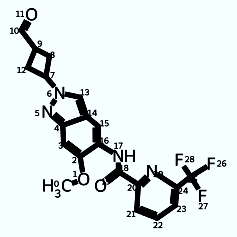 COc1cc2nn(C3CC(C=O)C3)cc2cc1NC(=O)c1cccc(C(F)(F)F)n1